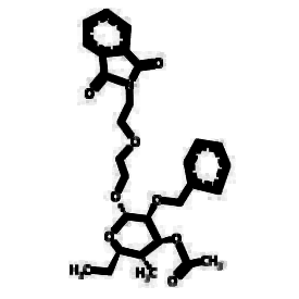 CC[C@H]1O[C@H](OCCOCCN2C(=O)c3ccccc3C2=O)[C@@H](OCc2ccccc2)[C@@H](OC(C)=O)[C@@H]1C